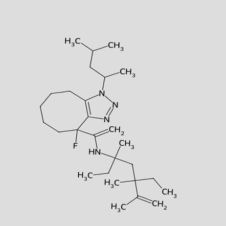 C=C(C)C(C)(CC)CC(C)(CC)NC(=C)C1(F)CCCCCc2c1nnn2C(C)CC(C)C